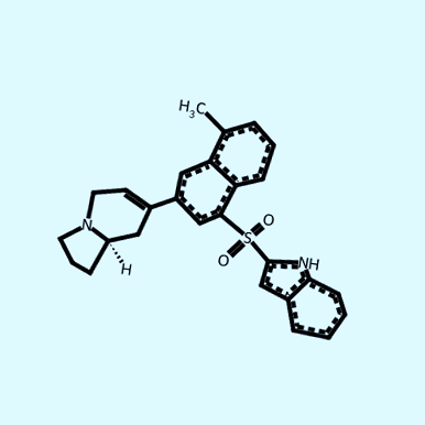 Cc1cccc2c(S(=O)(=O)c3cc4ccccc4[nH]3)cc(C3=CCN4CCC[C@@H]4C3)cc12